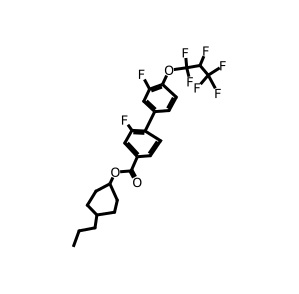 CCCC1CCC(OC(=O)c2ccc(-c3ccc(OC(F)(F)C(F)C(F)(F)F)c(F)c3)c(F)c2)CC1